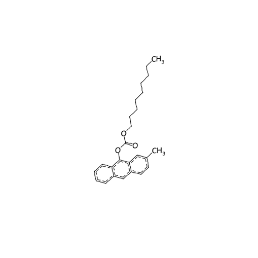 CCCCCCCCCOC(=O)Oc1c2ccccc2cc2ccc(C)cc12